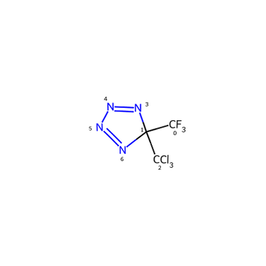 FC(F)(F)C1(C(Cl)(Cl)Cl)N=NN=N1